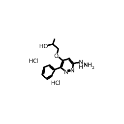 CC(O)COc1cc(NN)nnc1-c1ccccc1.Cl.Cl